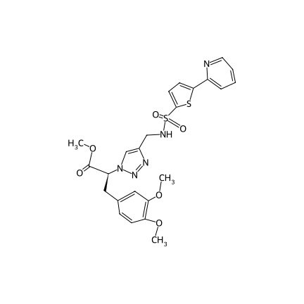 COC(=O)[C@H](Cc1ccc(OC)c(OC)c1)n1cc(CNS(=O)(=O)c2ccc(-c3ccccn3)s2)nn1